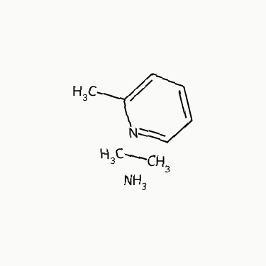 CC.Cc1ccccn1.N